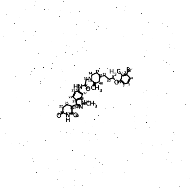 Cc1c(Br)cccc1OCCC[C@@H]1CCN(CC(=O)Nc2ccc3c(C4CCC(=O)NC4=O)nn(C)c3c2)[C@H](C)C1